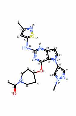 CC(=O)N1CCC(Oc2nc(Nc3cc(C)ns3)nc3ccn(-c4cnn(C)c4)c23)CC1